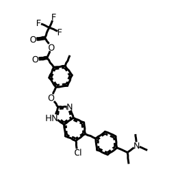 Cc1ccc(Oc2nc3cc(-c4ccc(C(C)N(C)C)cc4)c(Cl)cc3[nH]2)cc1C(=O)OC(=O)C(F)(F)F